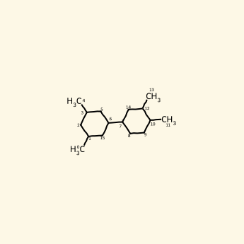 CC1CC(C)CC([C]2CCC(C)C(C)C2)C1